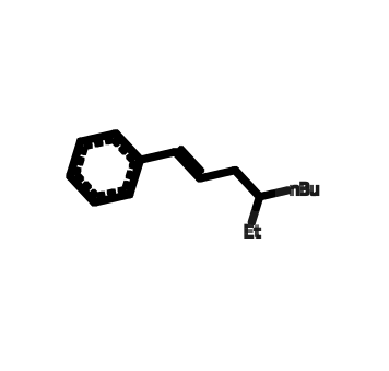 CCCCC(CC)CC=Cc1ccccc1